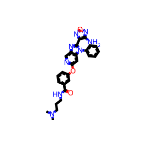 CN(C)CCCNC(=O)c1cccc(Oc2cc3c(cn2)nc(-c2nonc2N)n3-c2ccccc2)c1